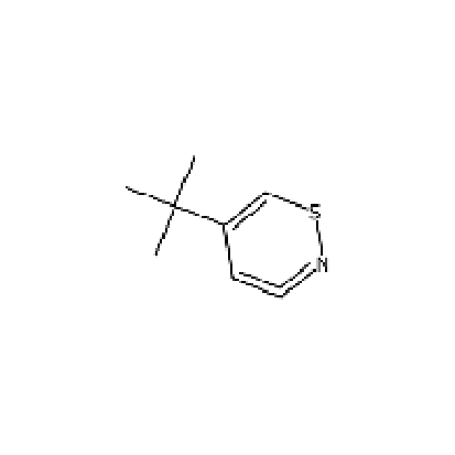 CC(C)(C)C1=CSN=C=C1